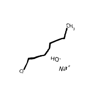 CCCCCCl.[Na+].[OH-]